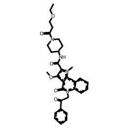 CCOCCC(=O)N1CCC(NC(=O)c2c(OC)c3c(=O)n(CC(=O)c4ccccc4)c4ccccc4c3n2C)CC1